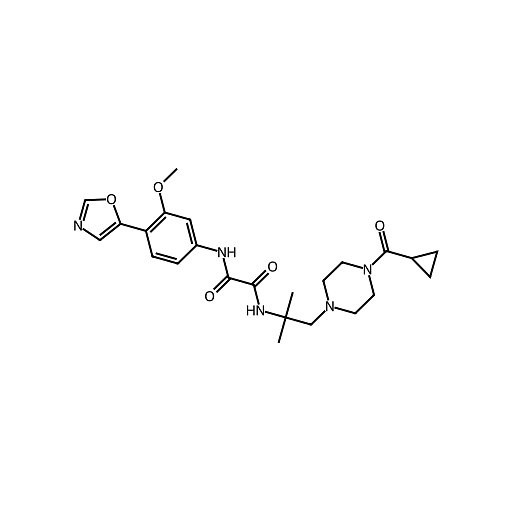 COc1cc(NC(=O)C(=O)NC(C)(C)CN2CCN(C(=O)C3CC3)CC2)ccc1-c1cnco1